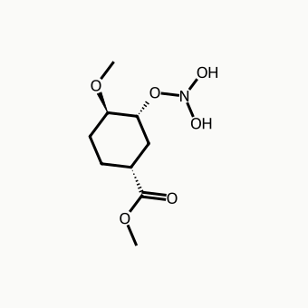 COC(=O)[C@@H]1CC[C@@H](OC)[C@H](ON(O)O)C1